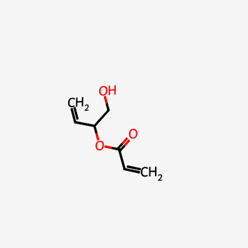 C=CC(=O)OC(C=C)CO